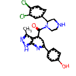 Cc1n[nH]c2nc(-c3ccc(O)cc3)cc(C(=O)N3CCNCC3c3ccc(Cl)c(Cl)c3)c12